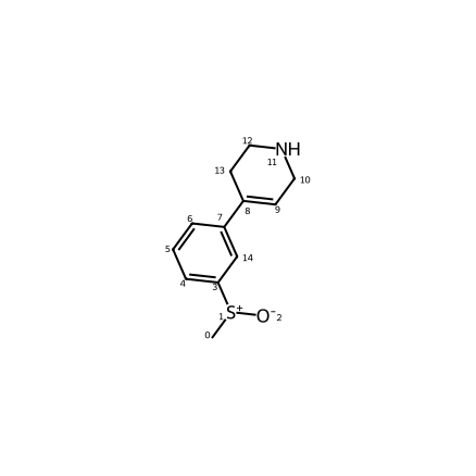 C[S+]([O-])c1cccc(C2=CCNCC2)c1